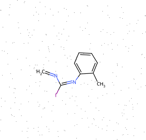 C=N/C(I)=N\c1ccccc1C